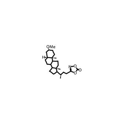 CO[C@@H]1CC[C@]2(C)C3CC[C@@]4(C)C(CCC4[C@H](C)CCc4noc(=O)o4)C3CC[C@@H]2C1